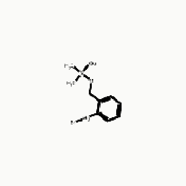 CC(C)(C)[Si](C)(C)OCc1cccc[c]1[Mg][Br]